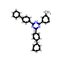 Cc1cccc(-c2nc(-c3ccc(-c4ccccc4)cc3)nc(-c3ccc(-c4ccccc4)cc3)n2)c1